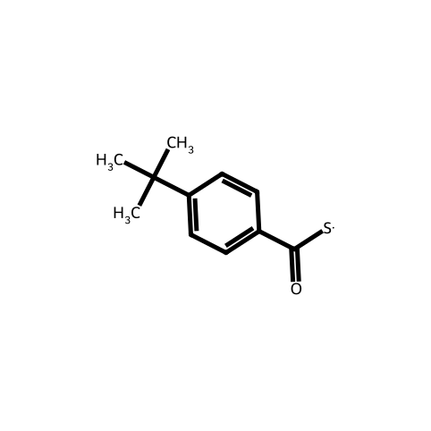 CC(C)(C)c1ccc(C(=O)[S])cc1